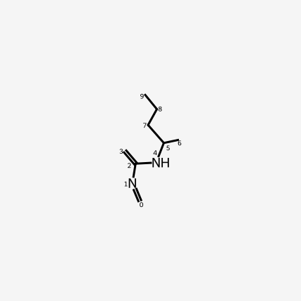 C=NC(=C)NC(C)CCC